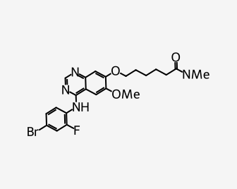 CNC(=O)CCCCCOc1cc2ncnc(Nc3ccc(Br)cc3F)c2cc1OC